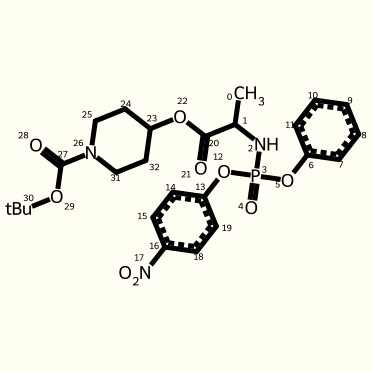 CC(NP(=O)(Oc1ccccc1)Oc1ccc([N+](=O)[O-])cc1)C(=O)OC1CCN(C(=O)OC(C)(C)C)CC1